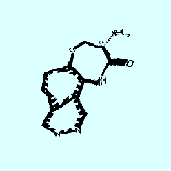 N[C@H]1COc2ccc3cnncc3c2NC1=O